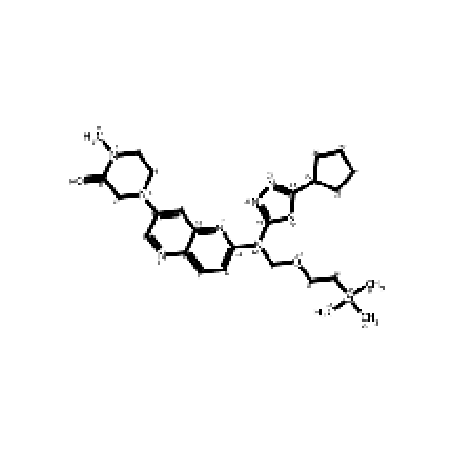 CN1CCN(c2cnc3ccc(N(COCC[Si](C)(C)C)c4nnc(C5CCCC5)s4)nc3c2)CC1=O